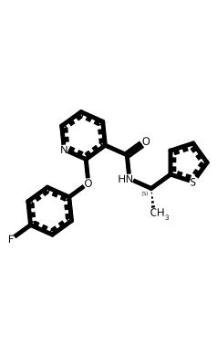 C[C@H](NC(=O)c1cccnc1Oc1ccc(F)cc1)c1cccs1